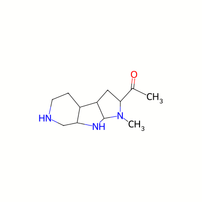 CC(=O)C1CC2C3CCNCC3NC2N1C